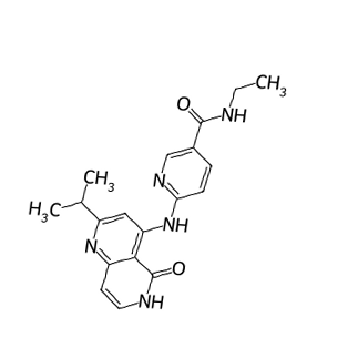 CCNC(=O)c1ccc(Nc2cc(C(C)C)nc3cc[nH]c(=O)c23)nc1